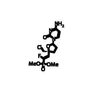 COP(=O)(OC)/C(F)=C/[C@]1(CCl)CC[C@H](n2ccc(N)nc2=O)O1